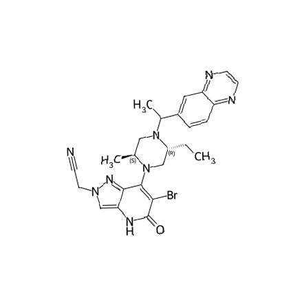 CC[C@@H]1CN(c2c(Br)c(=O)[nH]c3cn(CC#N)nc23)[C@@H](C)CN1C(C)c1ccc2nccnc2c1